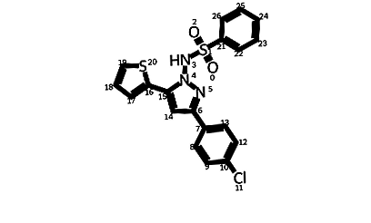 O=S(=O)(Nn1nc(-c2ccc(Cl)cc2)cc1-c1cccs1)c1ccccc1